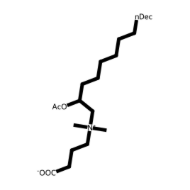 CCCCCCCCCCCCCCCCC(C[N+](C)(C)CCCC(=O)[O-])OC(C)=O